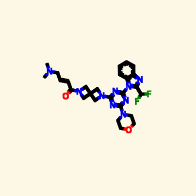 CN(C)CC=CC(=O)N1CC2(C1)CN(c1nc(N3CCOCC3)nc(-n3c(C(F)F)nc4ccccc43)n1)C2